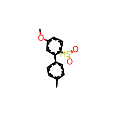 COc1ccc([SH](=O)=O)c(-c2ccc(C)cc2)c1